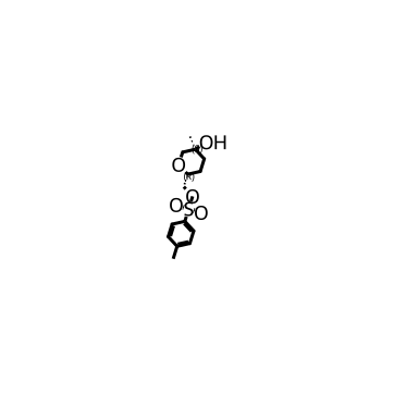 Cc1ccc(S(=O)(=O)OC[C@H]2CC[C@](C)(O)CO2)cc1